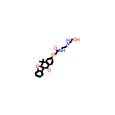 CC1(C)c2cc(OCC(=O)NCCNCCO)ccc2C(=O)c2c1oc1ccccc21